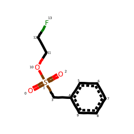 O=S(=O)(Cc1ccccc1)OCCF